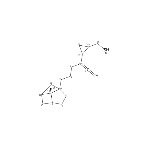 C=C=C(CCCC12CCC3CC(C1)[C@@]32C)C1CC1CS